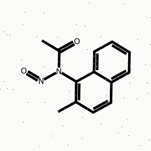 CC(=O)N(N=O)c1c(C)ccc2ccccc12